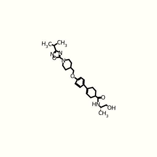 CC(C)c1noc(N2CCC(COc3ccc(C4=CCC(C(=O)N[C@@H](C)CO)CC4)cc3)CC2)n1